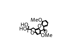 COc1cccc2c(=O)c3c(OC)cc4c(c3oc12)CC([C@](C)(O)CO)O4